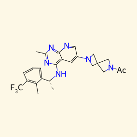 CC(=O)N1CC2(C1)CN(c1cnc3nc(C)nc(N[C@H](C)c4cccc(C(F)(F)F)c4C)c3c1)C2